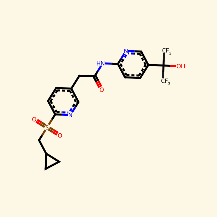 O=C(Cc1ccc(S(=O)(=O)CC2CC2)nc1)Nc1ccc(C(O)(C(F)(F)F)C(F)(F)F)cn1